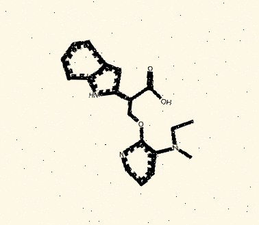 CCN(C)c1cccnc1OCC(C(=O)O)c1cc2ccccc2[nH]1